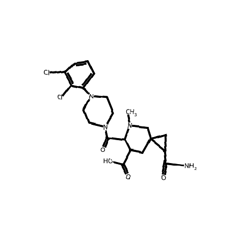 CN1CC2(CC(C(=O)O)C1C(=O)N1CCN(c3cccc(Cl)c3Cl)CC1)CC2C(N)=O